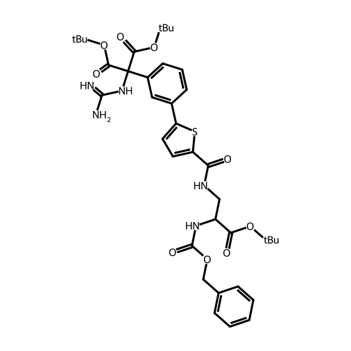 CC(C)(C)OC(=O)C(CNC(=O)c1ccc(-c2cccc(C(NC(=N)N)(C(=O)OC(C)(C)C)C(=O)OC(C)(C)C)c2)s1)NC(=O)OCc1ccccc1